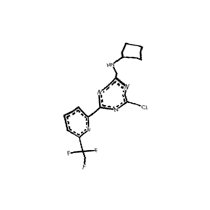 FC(F)(F)c1cccc(-c2nc(Cl)nc(NC3CCC3)n2)n1